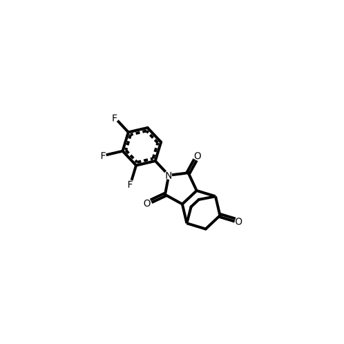 O=C1CC2CCC1C1C(=O)N(c3ccc(F)c(F)c3F)C(=O)C21